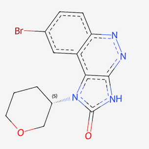 O=c1[nH]c2nnc3ccc(Br)cc3c2n1[C@H]1CCCOC1